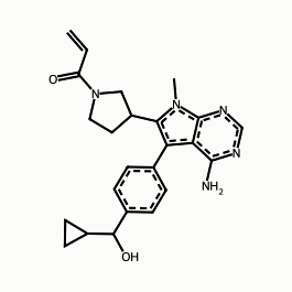 C=CC(=O)N1CCC(c2c(-c3ccc(C(O)C4CC4)cc3)c3c(N)ncnc3n2C)C1